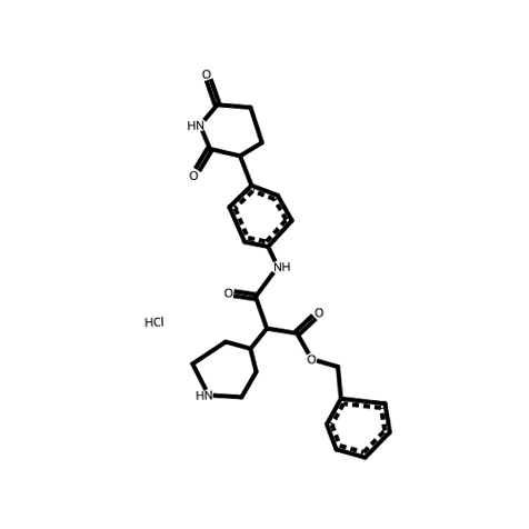 Cl.O=C1CCC(c2ccc(NC(=O)C(C(=O)OCc3ccccc3)C3CCNCC3)cc2)C(=O)N1